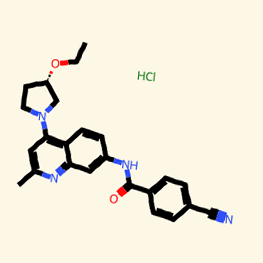 CCO[C@H]1CCN(c2cc(C)nc3cc(NC(=O)c4ccc(C#N)cc4)ccc23)C1.Cl